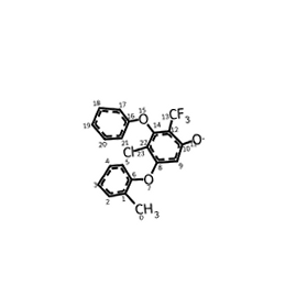 Cc1ccccc1Oc1cc([O])c(C(F)(F)F)c(Oc2ccccc2)c1Cl